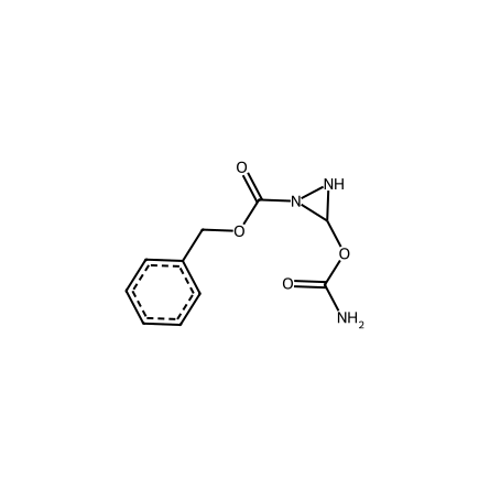 NC(=O)OC1NN1C(=O)OCc1ccccc1